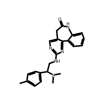 Cc1ccc(C(CNc2ncc3c(n2)-c2ccccc2NC(=O)C3)N(C)C)cc1